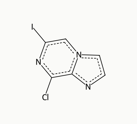 Clc1nc(I)cn2ccnc12